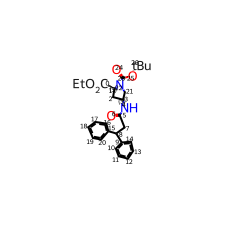 CCOC(=O)[C@@H]1C[C@H](NC(=O)CC(c2ccccc2)c2ccccc2)CN1C(=O)OC(C)(C)C